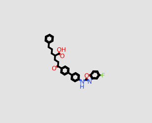 O=C(CCC(CCCc1ccccc1)C(=O)O)c1ccc(-c2ccc(Nc3nc4cc(F)ccc4o3)cc2)cc1